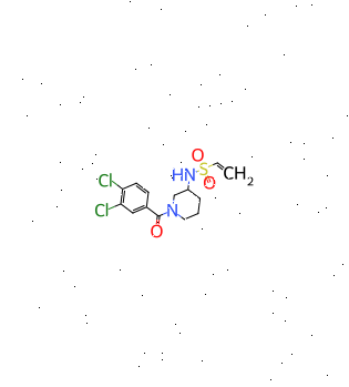 C=CS(=O)(=O)NC1CCCN(C(=O)c2ccc(Cl)c(Cl)c2)C1